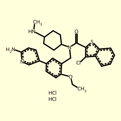 CCOc1ccc(-c2ccc(N)nc2)cc1CN(C(=O)c1sc2ccccc2c1Cl)C1CCC(NC)CC1.Cl.Cl